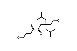 CC(C)CC(CC=O)(CC(=O)C(=O)CCC=O)CC(C)C